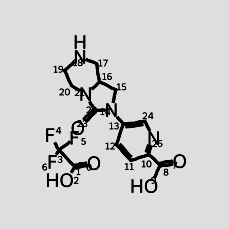 O=C(O)C(F)(F)F.O=C(O)c1ccc(N2CC3CNCCN3C2=O)cn1